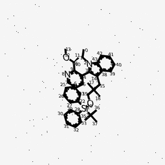 CCn1c(-c2cccnc2[C@H](C)OC)c(CC(C)(C)CO[Si](c2ccccc2)(c2ccccc2)C(C)(C)C)c2ccccc21